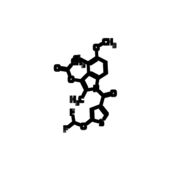 COc1ccc2c(c1Cl)c(OC(C)=O)c(C)n2C(=O)c1csc(OC(F)F)c1